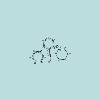 [O]c1ccccc1[N+](Cl)(c1ccccc1)C1CCCCC1